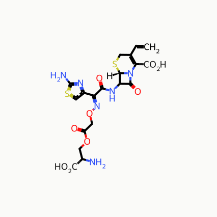 C=CC1=C(C(=O)O)N2C(=O)C(NC(=O)C(=NOCC(=O)OCC(N)C(=O)O)c3csc(N)n3)[C@@H]2SC1